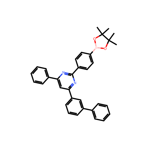 CC1(C)OB(c2ccc(-c3nc(-c4ccccc4)cc(-c4cccc(-c5ccccc5)c4)n3)cc2)OC1(C)C